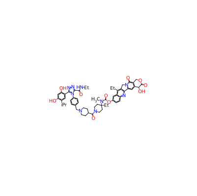 CCNC(=O)c1nnc(-c2cc(C(C)C)c(O)cc2O)n1-c1ccc(CN2CCC(C(=O)N3CCC(CC)(N(C)C(=O)Oc4ccc5nc6c(c(CC)c5c4)Cn4c-6cc5c(c4=O)COC(=O)C5O)CC3)CC2)cc1